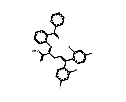 COC(=O)C(CC=C(c1ccc(F)cc1F)c1ccc(F)cc1F)=Nc1ccccc1C(=O)c1ccccc1